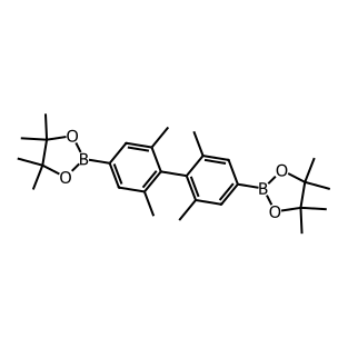 Cc1cc(B2OC(C)(C)C(C)(C)O2)cc(C)c1-c1c(C)cc(B2OC(C)(C)C(C)(C)O2)cc1C